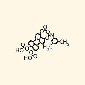 Cc1cc(C)cc(N=C2OC(=O)Oc3ccc4c5ccc(OC(=O)O)c6c(OC(=O)O)ccc(c7ccc(c3c47)O2)c65)c1